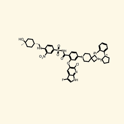 CC(C)c1ccccc1[C@H]1CCC[C@H]1N1CC2(CCN(c3ccc(C(=O)NS(=O)(=O)c4ccc(NC[C@H]5CC[C@](C)(O)CC5)c([N+](=O)[O-])c4)c(Oc4cc5c(F)c[nH]c5nc4Cl)c3)CC2)C1